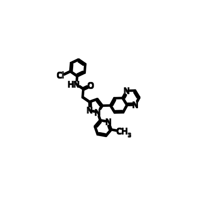 Cc1cccc(-n2nc(CC(=O)Nc3ccccc3Cl)cc2-c2ccc3nccnc3c2)n1